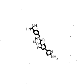 CCO[C@H](C(=O)NCc1ccc(C(=N)N)cc1)c1c(F)cc(-c2ccc(N)nc2)cc1F